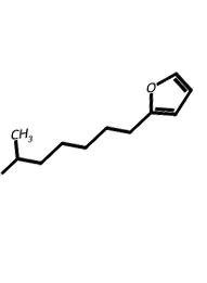 CC(C)CCCCCc1ccco1